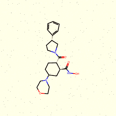 O=C(NO)[C@H]1CC(N2CCOCC2)CC[C@@H]1C(=O)N1CC[C@H](c2ccccc2)C1